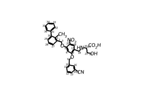 Cc1c(COc2cc(OCc3cccc(C#N)c3)c(CN[C@@H](CO)C(=O)O)cc2[N+](=O)[O-])cccc1-c1ccccc1